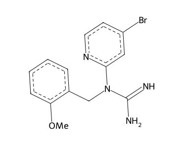 COc1ccccc1CN(C(=N)N)c1cc(Br)ccn1